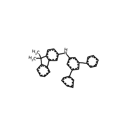 CC1(C)c2ccccc2-c2cc(Nc3cc(-c4ccccc4)cc(-c4ccccc4)c3)ccc21